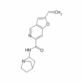 C=Cc1cc2cnc(C(=O)NC3CC4CCN3C4)cc2o1